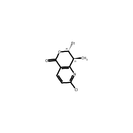 CC[C@H]1OC(=O)c2ccc(Cl)nc2[C@@H]1C